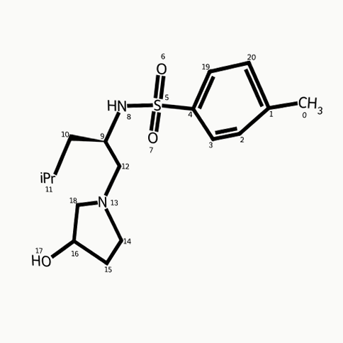 Cc1ccc(S(=O)(=O)N[C@H](CC(C)C)CN2CCC(O)C2)cc1